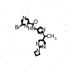 CC(c1cnc(N2CCC2)nc1)n1cc(NC(=O)c2cncc(Br)n2)cn1